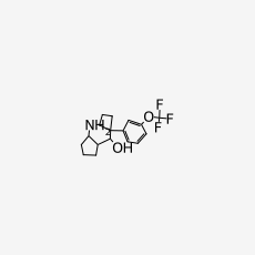 NC1CCCC1C(O)C1(c2cccc(OC(F)(F)F)c2)CCC1